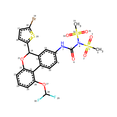 CS(=O)(=O)N(C(=O)Nc1ccc2c(c1)C(c1ccc(Br)s1)Oc1cccc(OC(F)F)c1-2)S(C)(=O)=O